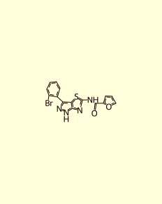 O=C(Nc1nc2[nH]nc(-c3ccccc3Br)c2s1)c1ccco1